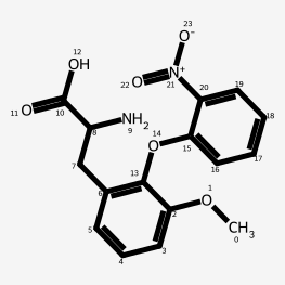 COc1cccc(CC(N)C(=O)O)c1Oc1ccccc1[N+](=O)[O-]